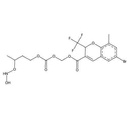 Cc1cc(Br)cc2c1OC(C(F)(F)F)C(C(=O)OCOC(=O)OCCC(C)ONO)=C2